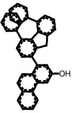 Oc1cc(-c2ccc(-c3ccccc3)c3c2Cc2cccc(-c4ccccc4)c2-3)c2ccc3ccccc3c2c1